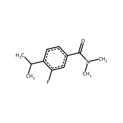 CC(C)c1ccc(C(=O)N(C)C)cc1F